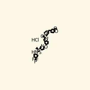 CCN(C(=S)Nc1ccc(C(F)(F)F)cc1)c1ccc(Oc2ccc3c(c2)cc(C(=O)N2CCN(Cc4ccc5c(c4)OCO5)CC2)n3C)nc1.Cl